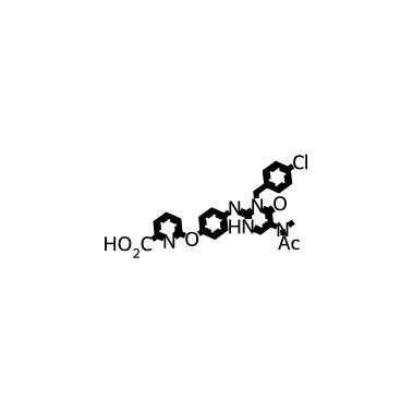 CC(=O)N(C)c1c[nH]/c(=N\c2ccc(Oc3cccc(C(=O)O)n3)cc2)n(Cc2ccc(Cl)cc2)c1=O